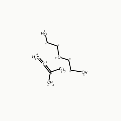 C=C=C(C)C.OCCOCCO